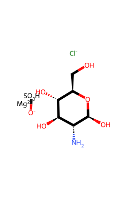 N[C@@H]1[C@@H](O)[C@H](O)[C@@H](CO)O[C@H]1O.O=S(=O)([O-])O.[Cl-].[Mg+2]